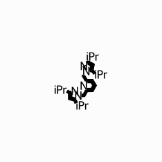 CC(C)c1cc(C(C)C)n(Cc2cccc(Cn3nc(C(C)C)cc3C(C)C)n2)n1